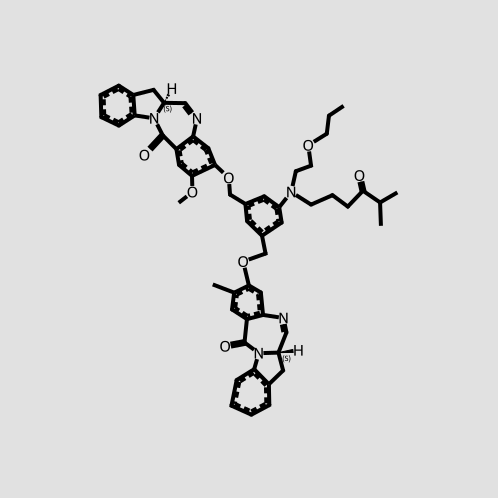 CCCOCCN(CCCC(=O)C(C)C)c1cc(COc2cc3c(cc2C)C(=O)N2c4ccccc4C[C@H]2C=N3)cc(COc2cc3c(cc2OC)C(=O)N2c4ccccc4C[C@H]2C=N3)c1